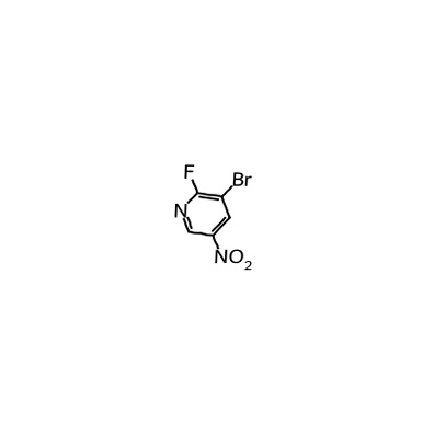 O=[N+]([O-])c1cnc(F)c(Br)c1